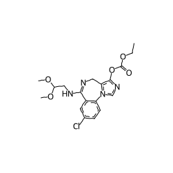 CCOC(=O)Oc1ncn2c1CN=C(NCC(OC)OC)c1cc(Cl)ccc1-2